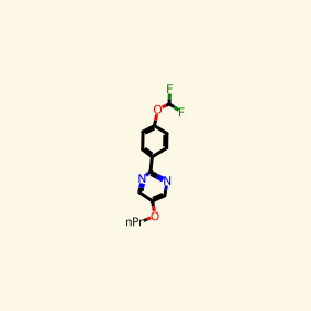 CCCOc1cnc(-c2ccc(OC(F)F)cc2)nc1